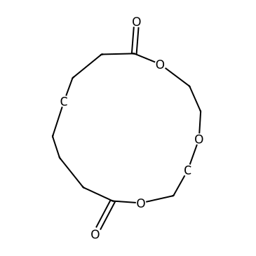 O=C1CCCCCCC(=O)OCCOCCO1